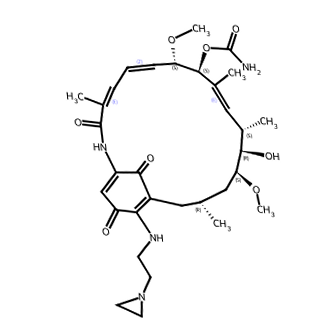 CO[C@H]1/C=C\C=C(/C)C(=O)NC2=CC(=O)C(NCCN3CC3)=C(C[C@@H](C)C[C@H](OC)[C@H](O)[C@@H](C)/C=C(\C)[C@@H]1OC(N)=O)C2=O